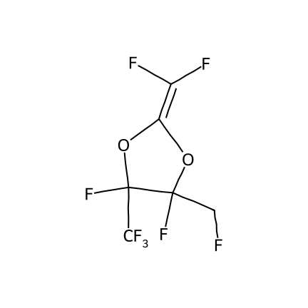 FCC1(F)OC(=C(F)F)OC1(F)C(F)(F)F